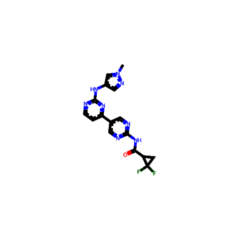 Cn1cc(Nc2nccc(-c3cnc(NC(=O)C4CC4(F)F)nc3)n2)cn1